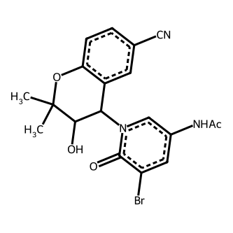 CC(=O)Nc1cc(Br)c(=O)n(C2c3cc(C#N)ccc3OC(C)(C)C2O)c1